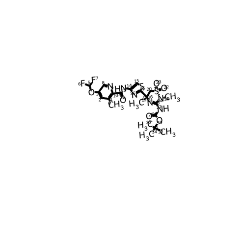 Cc1cc(OC(F)F)cnc1C(=O)Nc1csc([C@]2(C)CS(=O)(=O)N(C)C(NC(=O)OC(C)(C)C)=N2)n1